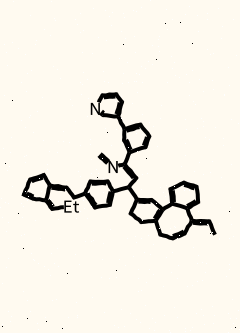 C=N/C(=C\C(C1=CC2=C(C/C=C\C(=C/C)c3ccccc32)CC1)c1ccc(C/C=c2/cccc/c2=C/CC)cc1)c1cccc(-c2cccnc2)c1